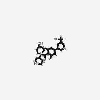 Cc1cc(-c2cncc(C(F)(F)F)c2)cc(C)c1C(=O)[N+]1(C2CCNCC2)CCC(O)CC1